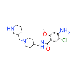 COc1cc(N)c(Cl)cc1C(=O)NCC1CCN(CC2CCCNC2)CC1